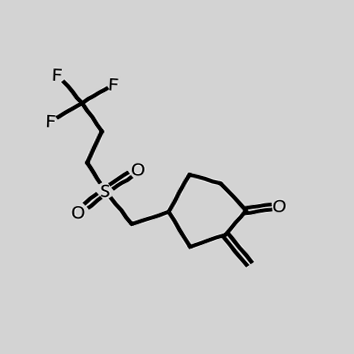 C=C1CC(CS(=O)(=O)CCC(F)(F)F)CCC1=O